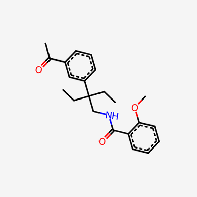 CCC(CC)(CNC(=O)c1ccccc1OC)c1cccc(C(C)=O)c1